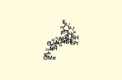 CCC[C@H](N[C@H]1CCc2cc(F)cc(F)c2C1)C(=O)NC1=CN(C(C)(C)C(=O)NCCCOC)CN1